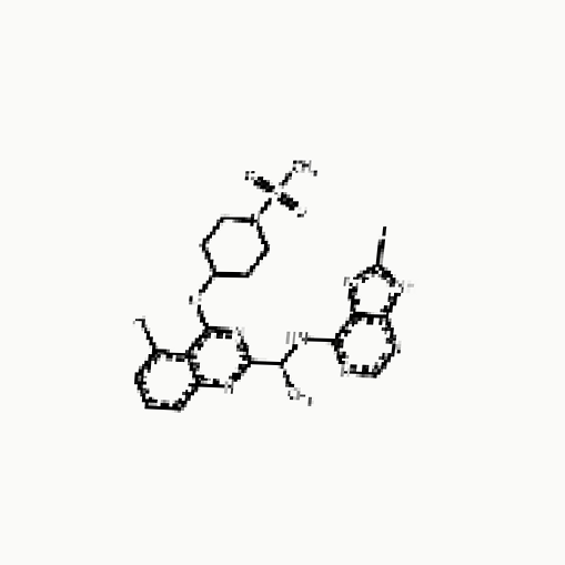 C[C@H](Nc1ncnc2[nH]c(I)nc12)c1nc(OC2CCN(S(C)(=O)=O)CC2)c2c(Cl)cccc2n1